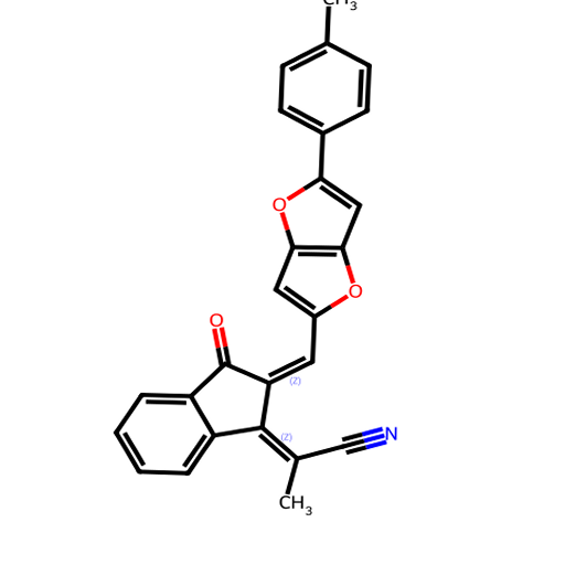 C/C(C#N)=C1/C(=C/c2cc3oc(-c4ccc(C)cc4)cc3o2)C(=O)c2ccccc21